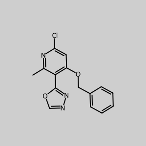 Cc1nc(Cl)cc(OCc2ccccc2)c1-c1nnco1